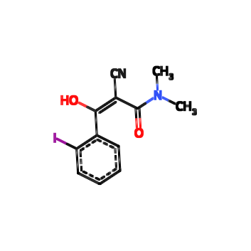 CN(C)C(=O)C(C#N)=C(O)c1ccccc1I